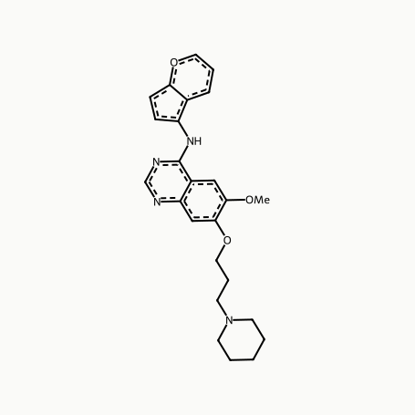 COc1cc2c(Nc3ccc4occcc3-4)ncnc2cc1OCCCN1CCCCC1